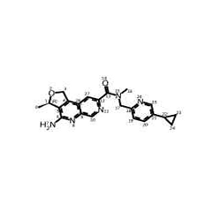 C[C@H]1OCc2c1c(N)nc1cnc(C(=O)N(C)Cc3ccc(C4CC4)cn3)cc21